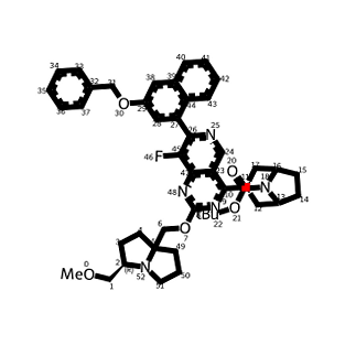 COC[C@H]1CCC2(COc3nc(N4CC5CCC(C4)N5C(=O)OC(C)(C)C)c4cnc(-c5cc(OCc6ccccc6)cc6ccccc56)c(F)c4n3)CCCN12